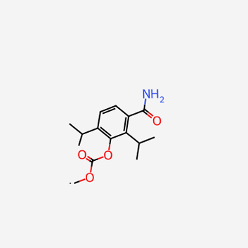 [CH2]OC(=O)Oc1c(C(C)C)ccc(C(N)=O)c1C(C)C